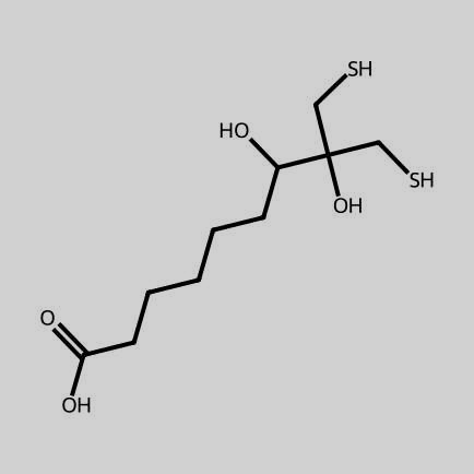 O=C(O)CCCCCC(O)C(O)(CS)CS